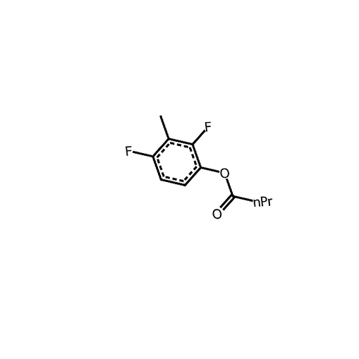 CCCC(=O)Oc1ccc(F)c(C)c1F